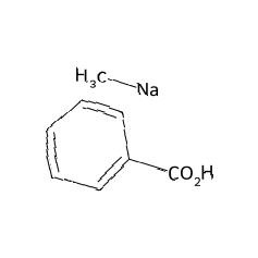 O=C(O)c1ccccc1.[CH3][Na]